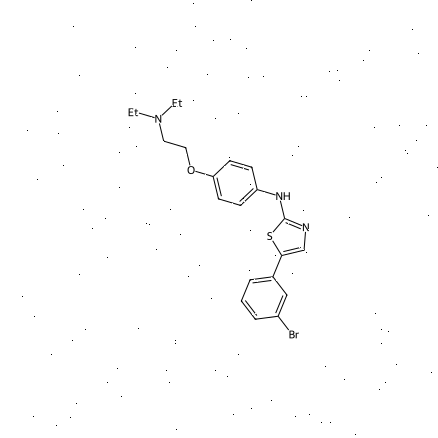 CCN(CC)CCOc1ccc(Nc2ncc(-c3cccc(Br)c3)s2)cc1